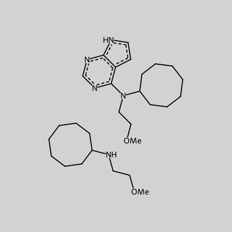 COCCN(c1ncnc2[nH]ccc12)C1CCCCCCC1.COCCNC1CCCCCCC1